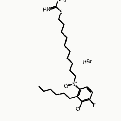 Br.CCCCCCc1c([S+]([O-])CCCCCCCCCCSC(=N)N)ccc(F)c1Cl